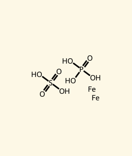 O=P(O)(O)O.O=S(=O)(O)O.[Fe].[Fe]